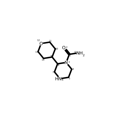 NC(=O)N1CCNCC1C1CCOCC1